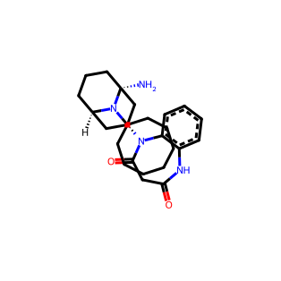 N[C@]12CCC[C@H](C[C@@H](N3C(=O)CC(=O)Nc4ccccc43)C1)N2C1CCCCCCC1